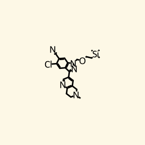 CN1CCc2ncc(-c3nn(COCC[Si](C)(C)C)c4cc(C#N)c(Cl)cc34)cc2C1